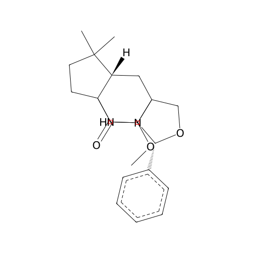 COC1NC23CCC(C)(C)[C@@H]2CC12CO[C@H](c1ccccc1)N2C3=O